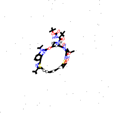 CC[C@@H]1C[C@@]12NC(=O)[C@@H]1C[C@H](CN1C(=O)[C@@H](NC(=O)OC(C)(C)C)C(C)(C)C)Oc1nc3c(cccc3n1C(C)C)-c1nc(C(C)C)c(s1)CCC=C=CCC1(CC1)S(=O)(=O)NC2=O